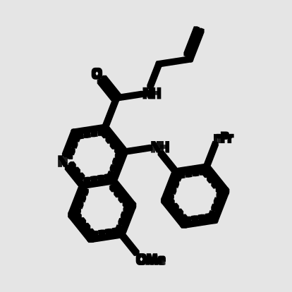 C=CCNC(=O)c1cnc2ccc(OC)cc2c1Nc1ccccc1CCC